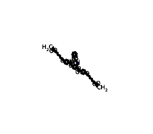 C=CC(=O)OCCCCCCOc1ccc(C(=O)Oc2ccc(OC(=O)c3ccc(OCCCCCCOC(=O)C=C)cc3)c(/C=N\Nc3nc4ccccc4s3)c2)cc1